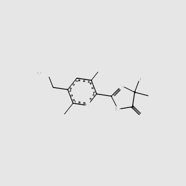 COCc1cc(C(=O)O)c(C2=NC(C)(C(C)C)C(=O)N2)nc1C